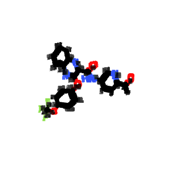 CC(=O)c1ccc(NC(=O)c2nc3ccccc3nc2Oc2ccc(OC(F)(F)F)cc2)cn1